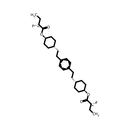 CC[C@@H](F)C(=O)O[C@H]1CC[C@H](CCc2ccc(CC[C@H]3CC[C@H](OC(=O)[C@H](F)CC)CC3)cc2)CC1